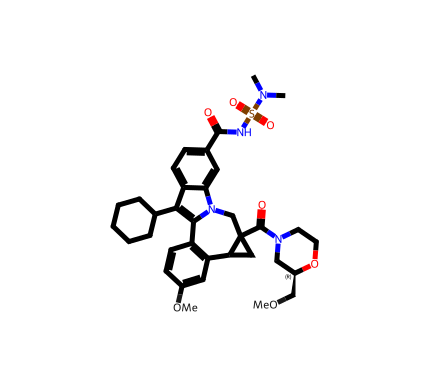 COC[C@H]1CN(C(=O)C23CC2c2cc(OC)ccc2-c2c(C4CCCCC4)c4ccc(C(=O)NS(=O)(=O)N(C)C)cc4n2C3)CCO1